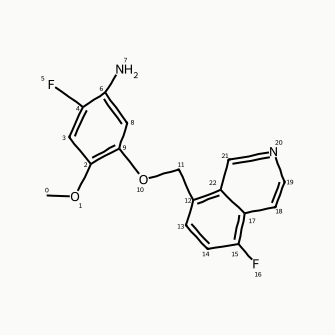 COc1cc(F)c(N)cc1OCc1ccc(F)c2ccncc12